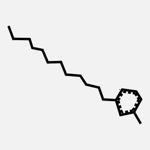 CCCCCCCCCCCCc1[c]ccc(C)c1